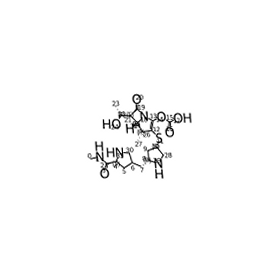 CNC(=O)[C@@H]1CC(C[C@@H]2C[C@H](SC3=C(OC(=O)O)N4C(=O)[C@H]([C@@H](C)O)[C@H]4[C@H]3C)CN2)CN1